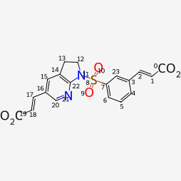 O=C(O)/C=C/c1cccc(S(=O)(=O)N2CCc3cc(/C=C/C(=O)O)cnc32)c1